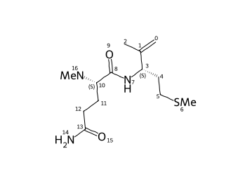 C=C(C)[C@H](CCSC)NC(=O)[C@H](CCC(N)=O)NC